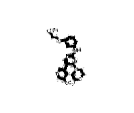 COCCOc1cccc(Nc2ncc(-c3cncc(C(=O)O)c3)c(N3CCOCC3)n2)c1